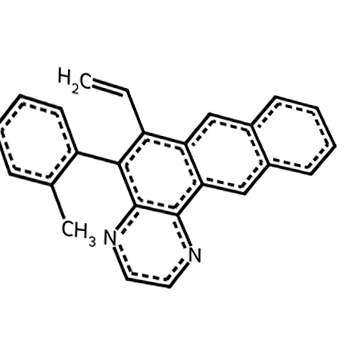 C=Cc1c(-c2ccccc2C)c2nccnc2c2cc3ccccc3cc12